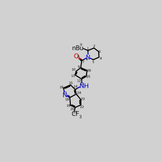 CCCCC1CCCCN1C(=O)c1ccc(Nc2ccnc3cc(C(F)(F)F)ccc23)cc1